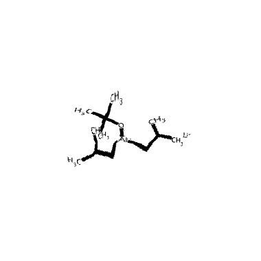 CC(C)[CH2][Al-]([CH2]C(C)C)[O]C(C)(C)C.[Li+]